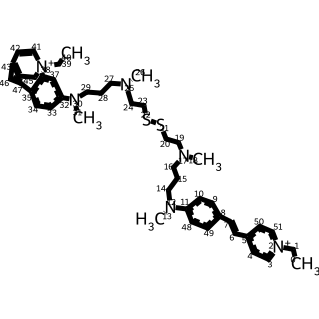 CC[n+]1ccc(/C=C/c2ccc(N(C)CCCN(C)CCSSCCN(C)CCCN(C)c3ccc4c(c3)[N+]3(CC)C=CC(=CC3)/C=C/4)cc2)cc1